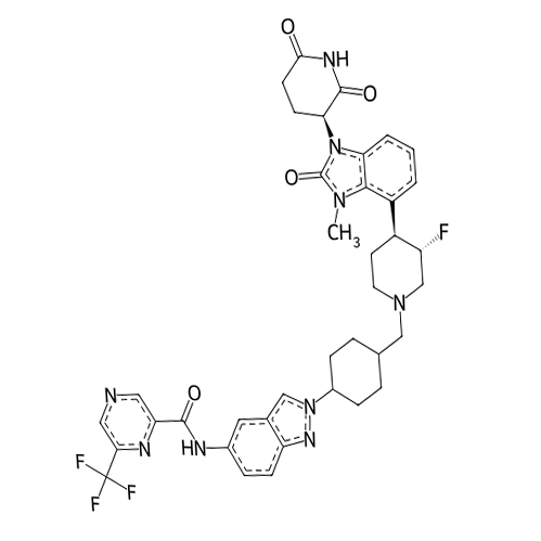 Cn1c(=O)n([C@H]2CCC(=O)NC2=O)c2cccc([C@@H]3CCN(CC4CCC(n5cc6cc(NC(=O)c7cncc(C(F)(F)F)n7)ccc6n5)CC4)C[C@H]3F)c21